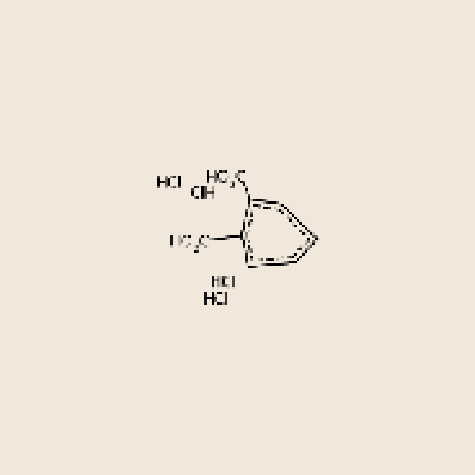 Cl.Cl.Cl.Cl.O=C(O)c1ccccc1C(=O)O